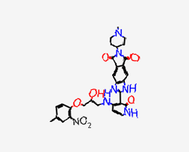 Cc1ccc(OCC(O)CNc2cc[nH]c(=O)c2-c2nc3cc4c(cc3[nH]2)C(=O)N(C2CCN(C)CC2)C4=O)c([N+](=O)[O-])c1